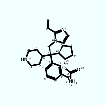 CCc1nccn1C[C@@](c1cccc(F)c1)(C1CCNCC1)[C@H]1CCC[C@@H]1OC(N)=O